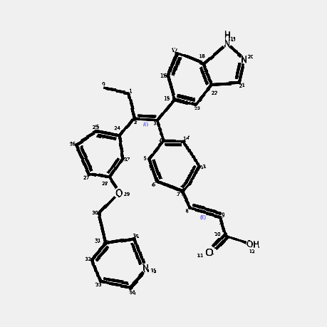 CC/C(=C(/c1ccc(/C=C/C(=O)O)cc1)c1ccc2[nH]ncc2c1)c1cccc(OCc2cccnc2)c1